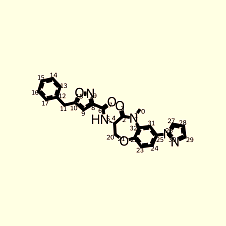 CN1C(=O)[C@@H](NC(=O)c2cc(Cc3ccccc3)on2)COc2ccc(-n3cccn3)cc21